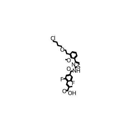 COc1c(CCOCCCCCl)cccc1-c1csc(NC(=O)c2cc(F)c(C=C(C)C(=O)O)c(F)c2)n1